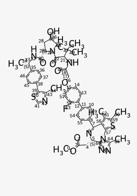 COC(=O)C[C@@H]1N=C(c2ccc(-c3ccc(OCC(=O)NC(C(=O)N4C[C@H](O)C[C@H]4C(=O)N[C@@H](C)c4ccc(-c5scnc5C)cc4)C(C)(C)C)cc3F)cc2)c2c(sc(C)c2C)-n2c(C)nnc21